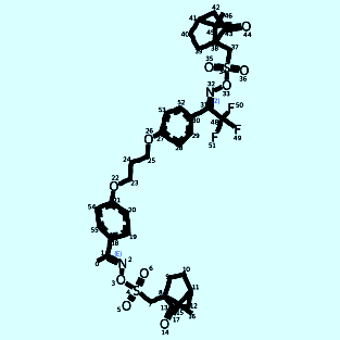 C/C(=N\OS(=O)(=O)CC12CCC(CC1=O)C2(C)C)c1ccc(OCCCOc2ccc(/C(=N/OS(=O)(=O)CC34CCC(CC3=O)C4(C)C)C(F)(F)F)cc2)cc1